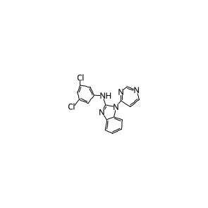 Clc1cc(Cl)cc(Nc2nc3ccccc3n2-c2ccncn2)c1